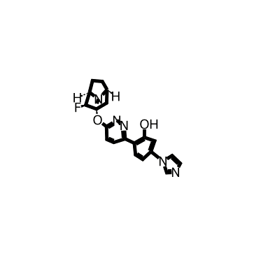 CN1[C@H]2CC[C@@H]1[C@H](F)[C@@H](Oc1ccc(-c3ccc(-n4ccnc4)cc3O)nn1)C2